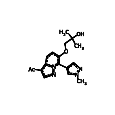 CC(=O)c1cnn2c(-c3cnn(C)c3)c(OCC(C)(C)O)ccc12